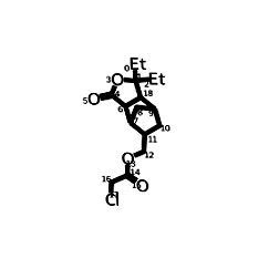 CCC1(CC)OC(=O)C2C3CC(CC3COC(=O)CCl)C21